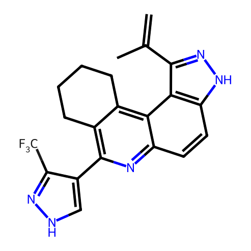 C=C(C)c1n[nH]c2ccc3nc(-c4c[nH]nc4C(F)(F)F)c4c(c3c12)CCCC4